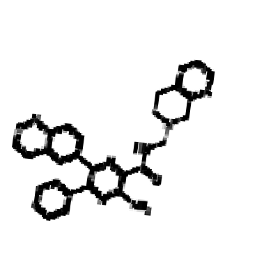 Nc1nc(-c2ccccc2)c(-c2ccc3ncccc3c2)nc1C(=O)NCN1CCc2cccnc2C1